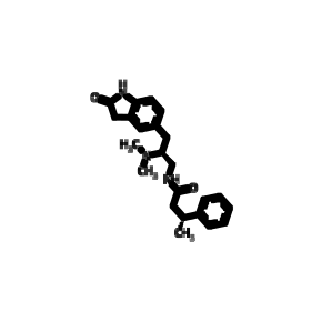 C[C@H](CC(=O)NC[C@H](Cc1ccc2c(c1)CC(=O)N2)N(C)C)c1ccccc1